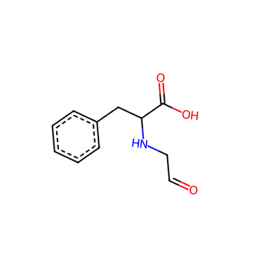 O=CCNC(Cc1ccccc1)C(=O)O